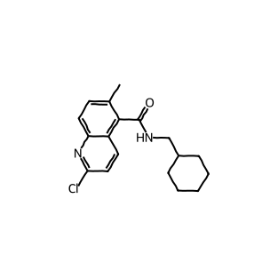 Cc1ccc2nc(Cl)ccc2c1C(=O)NCC1CCCCC1